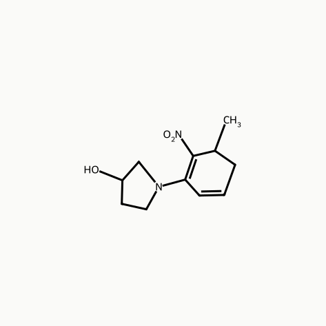 CC1CC=CC(N2CCC(O)C2)=C1[N+](=O)[O-]